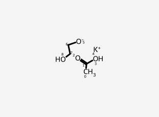 CC(=O)O.[K+].[O-]CCO